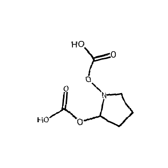 O=C(O)OC1CCCN1OC(=O)O